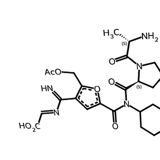 CC(=O)OCc1oc(C(=O)N(C(=O)[C@@H]2CCCN2C(=O)[C@H](C)N)C2CCCCC2)cc1C(=N)N=CC(=O)O